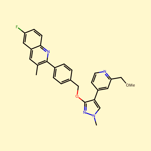 COCc1cc(-c2cn(C)nc2OCc2ccc(-c3nc4ccc(F)cc4cc3C)cc2)ccn1